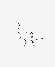 CC(C)S(=O)(=O)N(C)C(C)(C)CCS